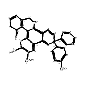 COC1=C(OC)Oc2c3c(c4c(c2=C1)=CC(c1ccccc1)(c1ccc(OC)cc1)C=C4)OCC1=C3C(=O)CC=C1